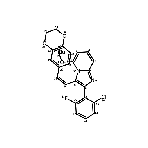 CCC(C)Oc1cccc2nc(-c3c(F)cccc3Cl)c(/C=C\c3ccc4c(c3)OCCO4)n12